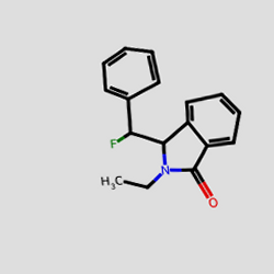 CCN1C(=O)c2ccccc2C1C(F)c1ccccc1